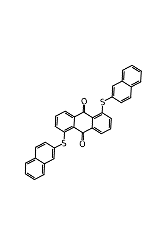 O=C1c2cccc(Sc3ccc4ccccc4c3)c2C(=O)c2cccc(Sc3ccc4ccccc4c3)c21